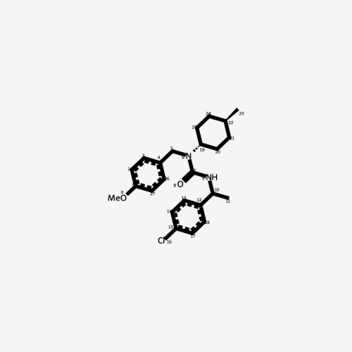 COc1ccc(CN(C(=O)NC(C)c2ccc(Cl)cc2)[C@H]2CC[C@H](C)CC2)cc1